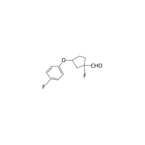 O=CC1(F)CCC(Oc2ccc(F)cc2)C1